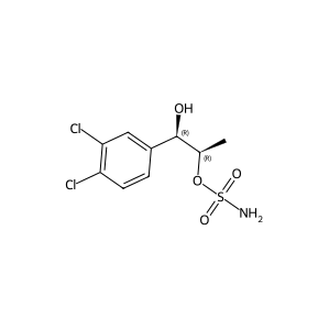 C[C@@H](OS(N)(=O)=O)[C@H](O)c1ccc(Cl)c(Cl)c1